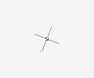 [CH2][Si]([CH2])(C)C